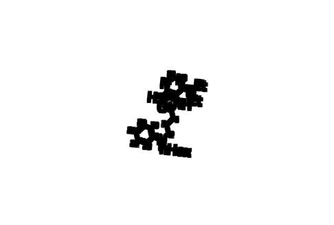 CCCCCCN(CCCC(=O)Nc1c(S)ncnc1N(CC)CC)c1ccccc1